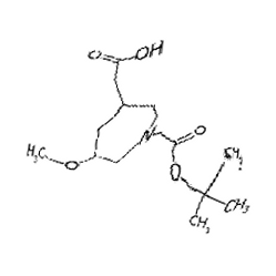 COC1CC(C(=O)O)CN(C(=O)OC(C)(C)C)C1